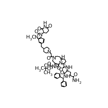 Cn1c(=O)n(C2CCC(=O)NC2=O)c2ccc(CC3CCN(CC(=O)N4CC[C@H]5CC[C@@H](C(=O)N[C@@H](CCC(N)=O)C(=O)NC(c6ccccc6)c6ccccc6)N5C(=O)[C@@H](NC(=O)OC(C)(C)C)C4)CC3)cc21